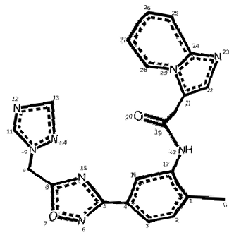 Cc1ccc(-c2noc(Cn3cncn3)n2)cc1NC(=O)c1cnc2ccccn12